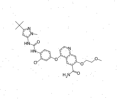 COCCOc1cc2nccc(Oc3ccc(NC(=O)Nc4cc(C(C)(C)C)nn4C)c(Cl)c3)c2cc1C(N)=O